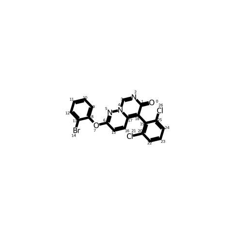 O=c1ncn2nc(Oc3ccccc3Br)ccc2c1-c1c(Cl)cccc1Cl